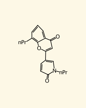 CCCc1cccc2c(=O)cc(-c3ccc(=O)n(CCC)c3)oc12